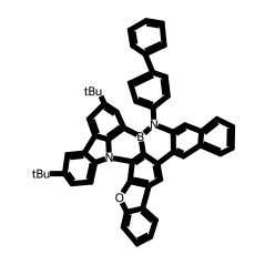 CC(C)(C)c1ccc2c(c1)c1cc(C(C)(C)C)cc3c1n2-c1c2c(cc4c1oc1ccccc14)-c1cc4ccccc4cc1N(c1ccc(-c4ccccc4)cc1)B23